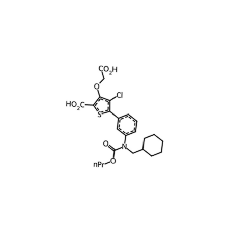 CCCOC(=O)N(CC1CCCCC1)c1cccc(-c2sc(C(=O)O)c(OCC(=O)O)c2Cl)c1